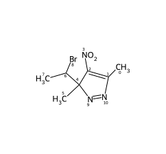 CC1=C([N+](=O)[O-])C(C)(C(C)Br)N=N1